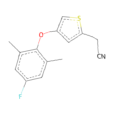 Cc1cc(F)cc(C)c1Oc1csc(CC#N)c1